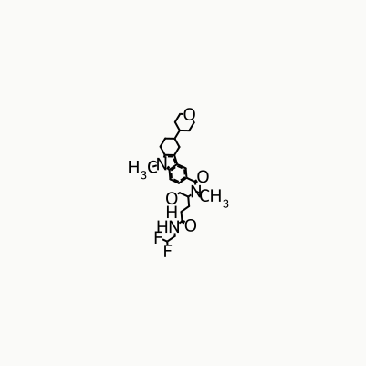 CN(C(=O)c1ccc2c(c1)c1c(n2C)CCC(C2CCOCC2)C1)C(CO)CCC(=O)NCC(F)F